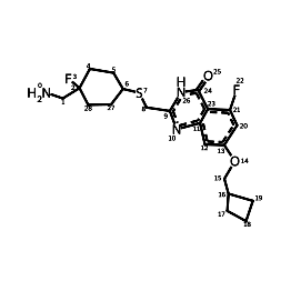 NCC1(F)CCC(SCc2nc3cc(OCC4CCC4)cc(F)c3c(=O)[nH]2)CC1